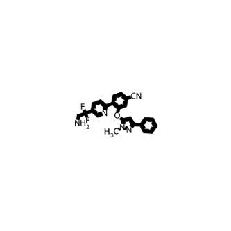 Cn1nc(-c2ccccc2)cc1Oc1cc(C#N)ccc1-c1ccc(C(F)(F)CN)cn1